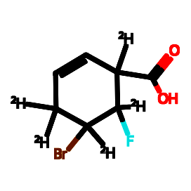 [2H]C1([2H])C=CC([2H])(C(=O)O)C([2H])(F)C1([2H])Br